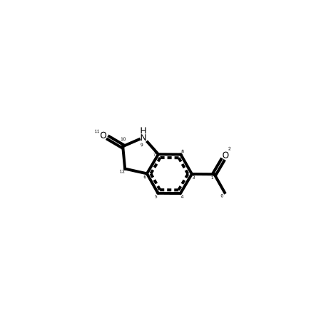 CC(=O)c1ccc2c(c1)NC(=O)C2